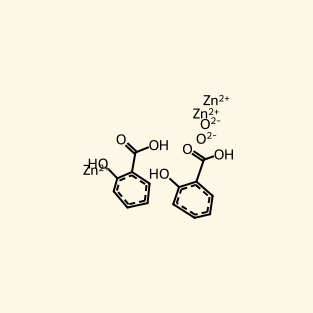 O=C(O)c1ccccc1O.O=C(O)c1ccccc1O.[O-2].[O-2].[Zn+2].[Zn+2].[Zn+2]